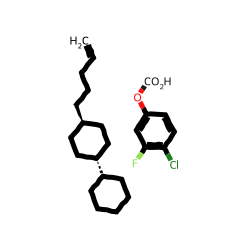 C=CCCC[C@H]1CC[C@H](C2CCCCC2)CC1.O=C(O)Oc1ccc(Cl)c(F)c1